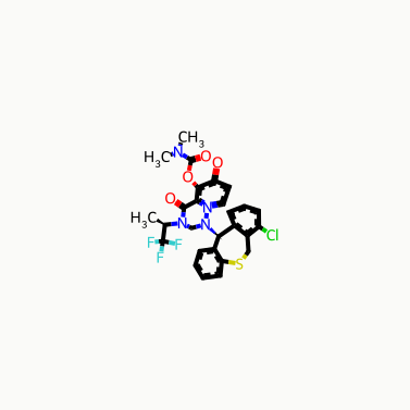 C[C@@H](N1CN([C@@H]2c3ccccc3SCc3c(Cl)cccc32)n2ccc(=O)c(OC(=O)N(C)C)c2C1=O)C(F)(F)F